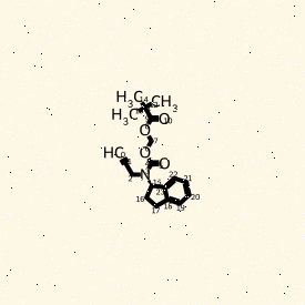 C#CCN(C(=O)OCOC(=O)C(C)(C)C)[C@@H]1CCc2ccccc21